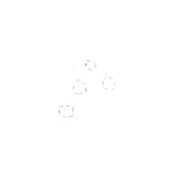 c1ccc(Oc2cccc(C(c3cccn3Cc3ccccn3)N3CCCCC3)c2)cc1